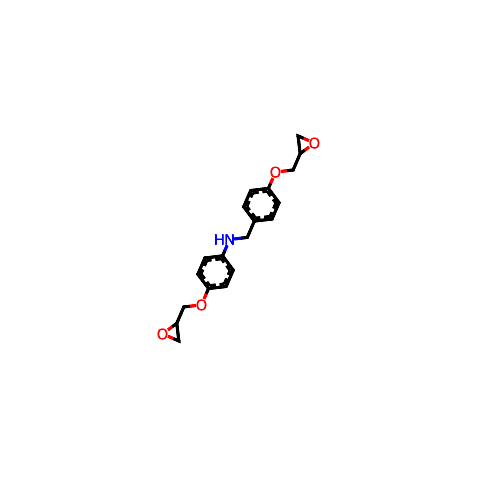 c1cc(OCC2CO2)ccc1CNc1ccc(OCC2CO2)cc1